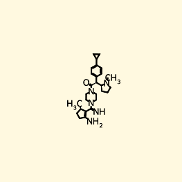 C[C@@H]1CCC(N)=C1C(=N)N1CCN(C(=O)[C@@H](c2ccc(C3CC3)cc2)[C@@H]2CCCN2C)CC1